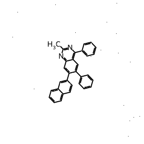 Cc1nc(-c2ccccc2)c2cc(-c3ccccc3)c(-c3ccc4ccccc4c3)cc2n1